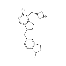 CC1CCc2cc(CC3CCc4c3ccc(C(F)(F)F)c4CN3CNC3)ccc21